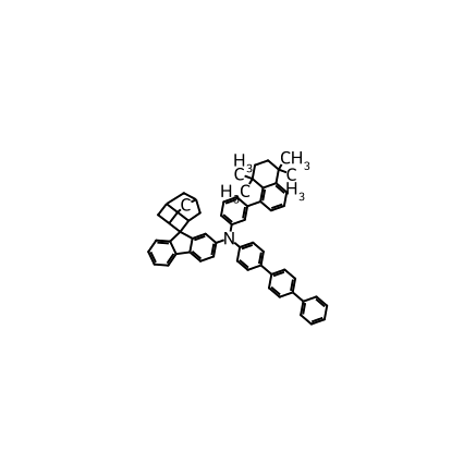 CC1(C)CCC(C)(C)c2c(-c3cccc(N(c4ccc(-c5ccc(-c6ccccc6)cc5)cc4)c4ccc5c(c4)C4(c6ccccc6-5)C5CC6CC7CC4C75C6)c3)cccc21